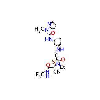 CCn1c(=O)c(=C=CNc2cccc(NC(=O)CN(C)c3ccccn3)c2)s/c1=C(/C#N)C(=O)NCC(F)(F)F